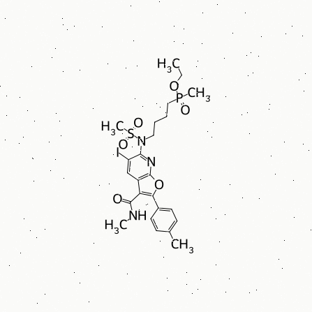 CCOP(C)(=O)CCCCN(c1nc2oc(-c3ccc(C)cc3)c(C(=O)NC)c2cc1I)S(C)(=O)=O